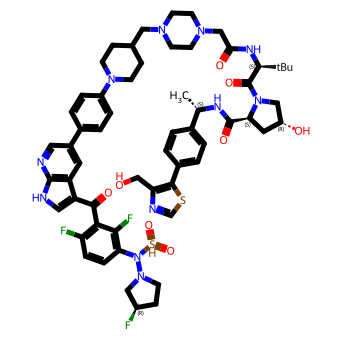 C[C@H](NC(=O)[C@@H]1C[C@@H](O)CN1C(=O)[C@@H](NC(=O)CN1CCN(CC2CCN(c3ccc(-c4cnc5[nH]cc(C(=O)c6c(F)ccc(N(N7CC[C@@H](F)C7)[SH](=O)=O)c6F)c5c4)cc3)CC2)CC1)C(C)(C)C)c1ccc(-c2scnc2CO)cc1